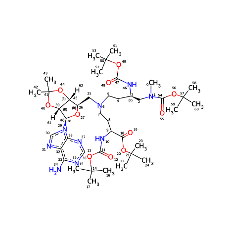 CN(C[C@@H](CCN(CCC(NC(=O)OC(C)(C)C)C(=O)OC(C)(C)C)C[C@H]1O[C@@H](n2cnc3c(N)ncnc32)[C@@H]2OC(C)(C)O[C@@H]21)NC(=O)OC(C)(C)C)C(=O)OC(C)(C)C